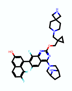 Oc1cc(-c2c(F)cc3c(N4CC5CCC(C4)N5)nc(OCC4(CN5CCC6(CC5)CNC6)CC4)nc3c2F)c2c(F)c(F)ccc2c1